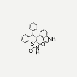 O=C1NC(=O)C(=C(c2cccc3[nH]ccc23)C(c2ccccc2)c2ccccc2)S1